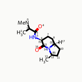 CNC(C)C(=O)N[C@H]1CC[C@H]2CC[C@@H](C)N2C1=O